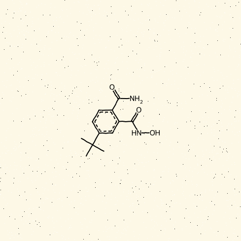 CC(C)(C)c1ccc(C(N)=O)c(C(=O)NO)c1